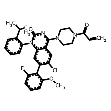 C=CC(=O)N1CCN(c2nc(=O)n(-c3ccccc3C(C)C)c3cc(-c4c(F)cccc4OC)c(Cl)cc23)CC1